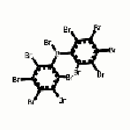 BrB(c1c(Br)c(Br)c(Br)c(Br)c1Br)c1c(Br)c(Br)c(Br)c(Br)c1Br